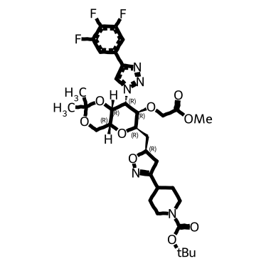 COC(=O)CO[C@@H]1[C@@H](n2cc(-c3cc(F)c(F)c(F)c3)nn2)[C@H]2OC(C)(C)OC[C@H]2O[C@@H]1C[C@H]1CC(C2CCN(C(=O)OC(C)(C)C)CC2)=NO1